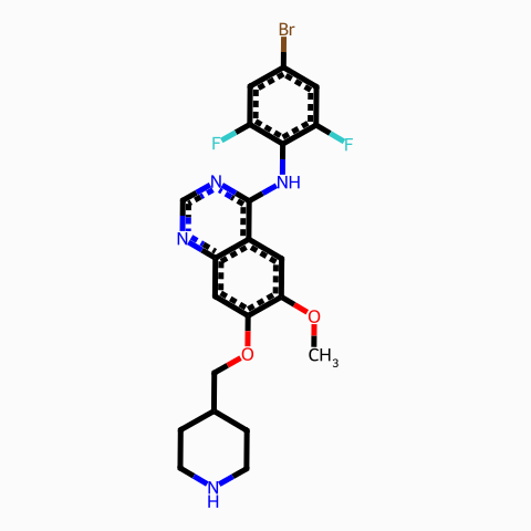 COc1cc2c(Nc3c(F)cc(Br)cc3F)ncnc2cc1OCC1CCNCC1